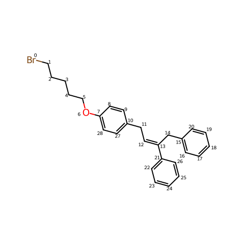 BrCCCCCOc1ccc(C/C=C(\Cc2ccccc2)c2ccccc2)cc1